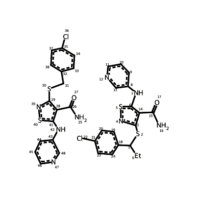 CCC(Sc1nsc(Nc2cccnc2)c1C(N)=O)c1ccc(Cl)cc1.NC(=O)c1c(SCc2ccc(Cl)cc2)nsc1Nc1cccnc1